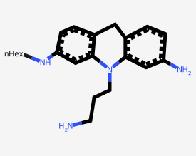 CCCCCCNc1ccc2c(c1)N(CCCN)c1cc(N)ccc1C2